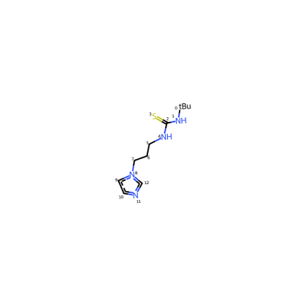 CC(C)(C)NC(=S)NCCCn1ccnc1